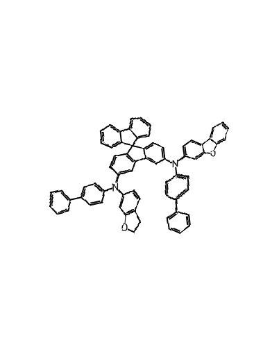 c1ccc(-c2ccc(N(c3ccc4c(c3)OCC4)c3ccc4c(c3)-c3cc(N(c5ccc(-c6ccccc6)cc5)c5ccc6c(c5)oc5ccccc56)ccc3C43c4ccccc4-c4ccccc43)cc2)cc1